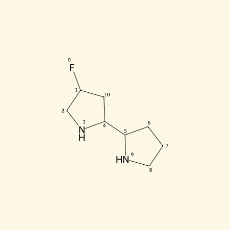 FC1CNC(C2CCCN2)C1